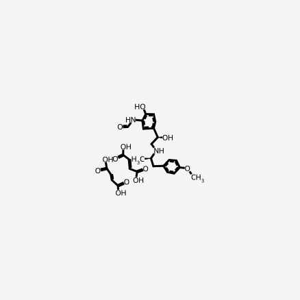 COc1ccc(C[C@@H](C)NC[C@H](O)c2ccc(O)c(NC=O)c2)cc1.O=C(O)/C=C/C(=O)O.O=C(O)/C=C/C(=O)O